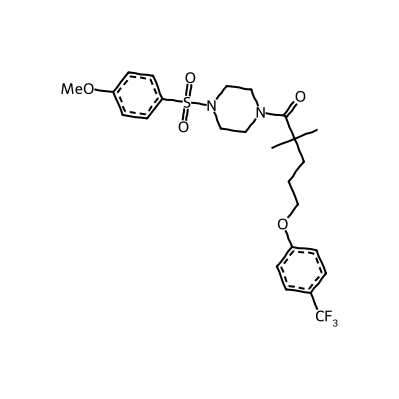 COc1ccc(S(=O)(=O)N2CCN(C(=O)C(C)(C)CCCOc3ccc(C(F)(F)F)cc3)CC2)cc1